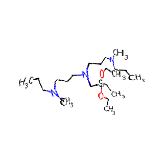 CCCN(C)CCCN(CCCN(C)CCC)C[Si](CC)(OCC)OCC